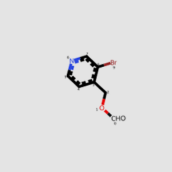 O=COCc1ccncc1Br